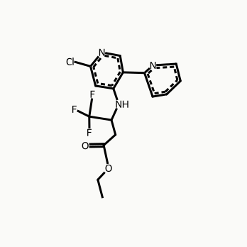 CCOC(=O)CC(Nc1cc(Cl)ncc1-c1ccccn1)C(F)(F)F